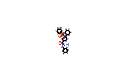 O=C(NCc1ccccc1)C1CCC(C2CCCCC2)N(S(=O)(=O)c2ccccc2)C1